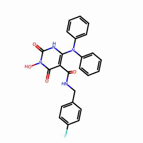 O=C(NCc1ccc(F)cc1)c1c(N(c2ccccc2)c2ccccc2)[nH]c(=O)n(O)c1=O